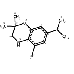 CC(C)c1cc(Br)c2c(c1)OC(C)(C)CN2